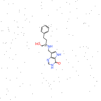 O=c1[nH]cnc2c(CN[C@@H](CO)CCc3ccccc3)c[nH]c12